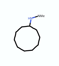 CNNC1CCCCCCCCC1